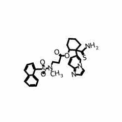 CN(CCC(=O)OC1CCCCC1(C(N)=S)c1ccc2nccn2c1)S(=O)(=O)c1cccc2ccccc12